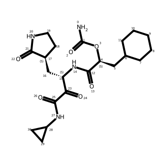 NC(=O)O[C@@H](CC1CCCCC1)C(=O)N[C@@H](C[C@@H]1CCNC1=O)C(=O)C(=O)NC1CC1